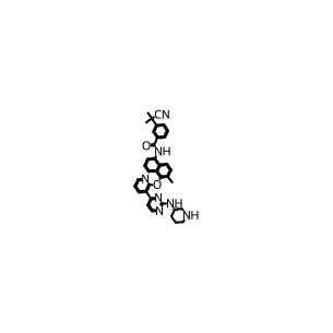 Cc1ccc2c(NC(=O)c3cccc(C(C)(C)C#N)c3)cccc2c1Oc1ncccc1-c1ccnc(N[C@H]2CCCNC2)n1